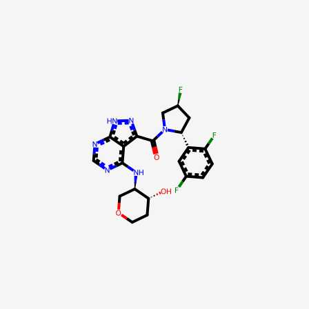 O=C(c1n[nH]c2ncnc(N[C@@H]3COCC[C@H]3O)c12)N1C[C@@H](F)C[C@@H]1c1cc(F)ccc1F